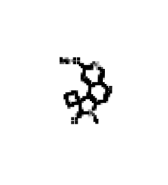 COc1cc2c3c(cnc2cn1)N(C)C(=O)C31CCC1